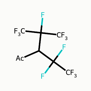 CC(=O)C(C(F)(F)C(F)(F)F)C(F)(C(F)(F)F)C(F)(F)F